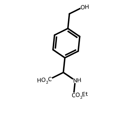 CCOC(=O)NC(C(=O)O)c1ccc(CO)cc1